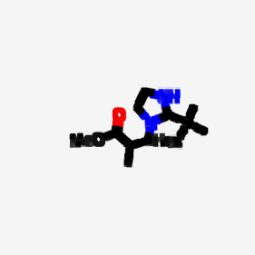 CCCCCC[Si](C)(C)C1NCCN1CC(C)C(=O)OC